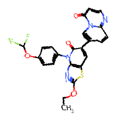 CCOc1nc2c(cc(-c3ccc4nccc(=O)n4c3)c(=O)n2-c2ccc(OC(F)F)cc2)s1